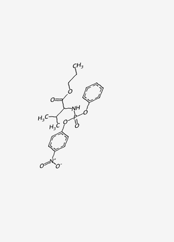 CCCOC(=O)C(NP(=O)(Oc1ccccc1)Oc1ccc([N+](=O)[O-])cc1)C(C)C